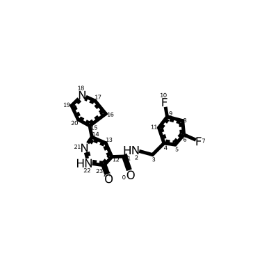 O=C(NCc1cc(F)cc(F)c1)c1cc(-c2ccncc2)n[nH]c1=O